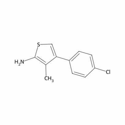 Cc1c(-c2ccc(Cl)cc2)csc1N